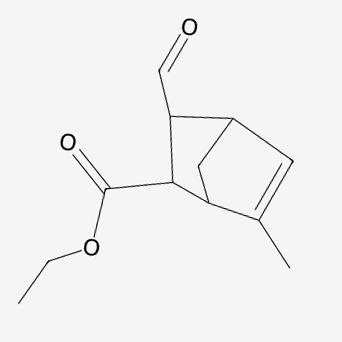 CCOC(=O)C1C2CC(C=C2C)C1C=O